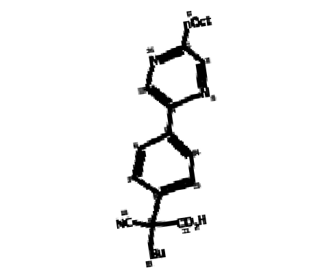 CCCCCCCCc1cnc(-c2ccc(C(C#N)(C(=O)O)C(C)CC)cc2)cn1